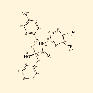 N#Cc1ccc(OC[C@@](O)(CC2=CCCC=C2)C(=O)Nc2ccc(C#N)c(C(F)(F)F)c2)cc1